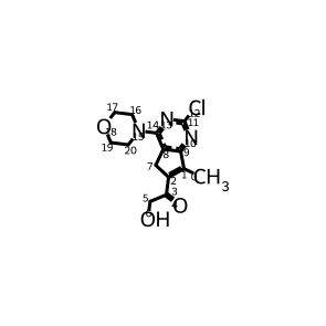 CC1=C(C(=O)CO)Cc2c1nc(Cl)nc2N1CCOCC1